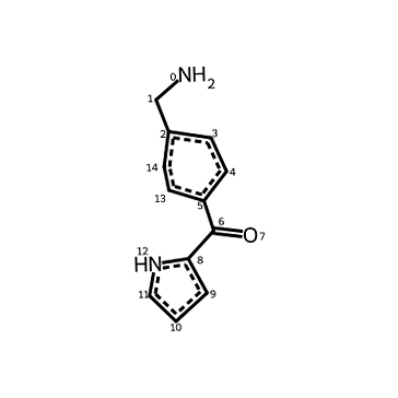 NCc1ccc(C(=O)c2ccc[nH]2)cc1